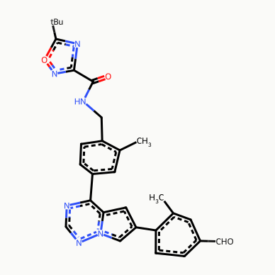 Cc1cc(-c2ncnn3cc(-c4ccc(C=O)cc4C)cc23)ccc1CNC(=O)c1noc(C(C)(C)C)n1